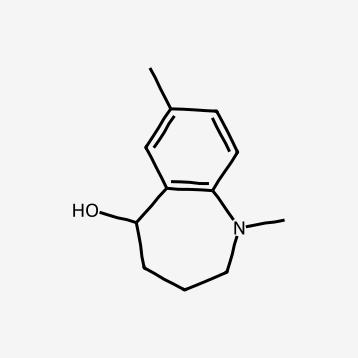 Cc1ccc2c(c1)C(O)CCCN2C